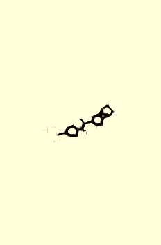 CC(=C(F)c1ccc(C(=O)O)cc1)c1ccc2c(c1)C1CCC2C1